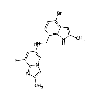 Cc1cn2cc(NCc3ccc(Br)c4cc(C)[nH]c34)cc(F)c2n1